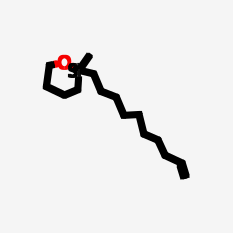 C=CCCCCCCCC[Si]1(C)CCCCO1